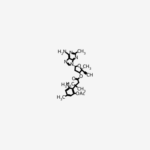 C#C[C@]1(C)O[C@@H](n2cnc3c(N)nc(C)nc32)C[C@@H]1OC(=O)CC(C)(C)c1c(C)cc(C)cc1OC(C)=O